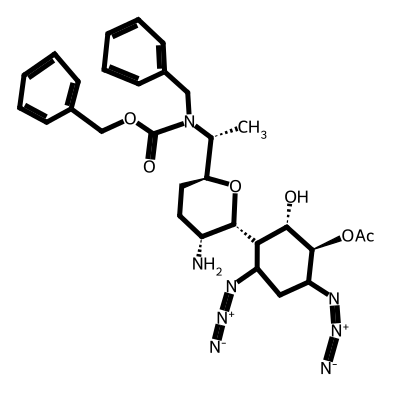 CC(=O)O[C@H]1C(N=[N+]=[N-])CC(N=[N+]=[N-])C([C@H]2O[C@H]([C@@H](C)N(Cc3ccccc3)C(=O)OCc3ccccc3)CC[C@H]2N)[C@@H]1O